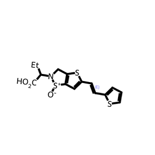 CCC(C(=O)O)N1Cc2sc(/C=C/c3cccs3)cc2[S+]1[O-]